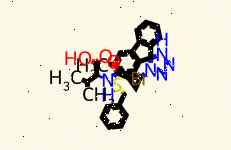 Cc1cc2c(c(Br)c1SCc1ccccc1)C1(NN=NN1C1CC1C(=O)N[C@H](C(=O)O)C(C)C)c1ccccc1-2